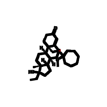 CCC1(O)CC[C@H]2[C@@H]3CCC4=CC(=O)CC[C@]4(COC4(OC)CCCCCC4)[C@@H]3CC[C@@]21C